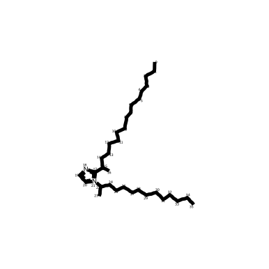 CCCCCCCCCCCCCCCC(C)c1nccn1C(C)CCCCCCCCCCCC